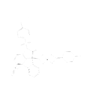 CCOc1ncccc1C1(N2CC3(CN(C4CCN(C)CC4)C3)C2)C(=O)N(S(=O)(=O)c2ccc(OC)cn2)c2ccc(C#N)cc21